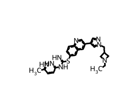 CCN1CC(Cn2cc(-c3cnc4ccc(SC(=N)NC(=N)/C=C\C(C)=N)cc4c3)cn2)C1